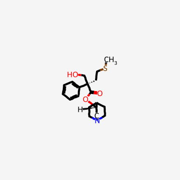 CSCC[C@](CO)(C(=O)O[C@H]1CN2CCC1CC2)c1ccccc1